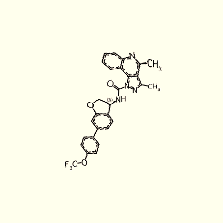 Cc1nc2ccccc2c2c1c(C)nn2C(=O)N[C@@H]1COc2cc(-c3ccc(OC(F)(F)F)cc3)ccc21